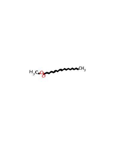 CCCCCCCCCC=CCC=CCCCC(=O)OCC